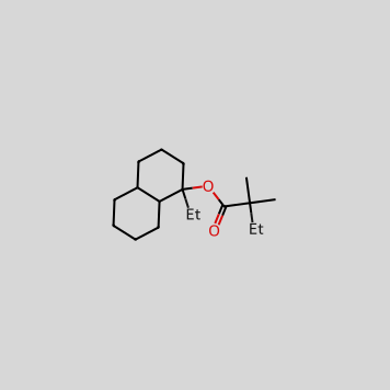 CCC(C)(C)C(=O)OC1(CC)CCCC2CCCCC21